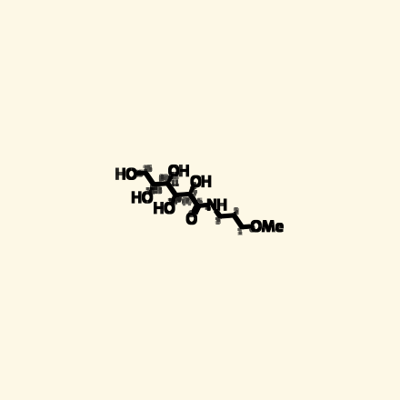 COCCCNC(=O)[C@H](O)[C@@H](O)[C@H](O)[C@H](O)CO